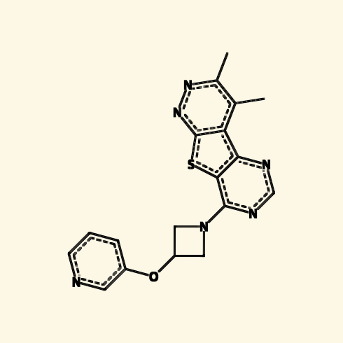 Cc1nnc2sc3c(N4CC(Oc5cccnc5)C4)ncnc3c2c1C